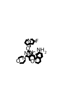 N#Cc1c(N)ccc2c1[C@]1(CCC2)Cc2nc(OC[C@@]34CCCN3C[C@H](F)C4)nc(N3CCCOCC3)c2CO1